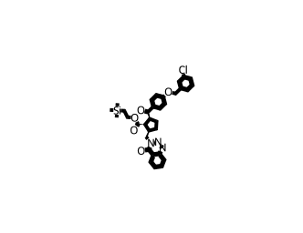 C[Si](C)(C)CCOC(=O)[C@H]1[C@H](Cn2nnc3ccccc3c2=O)CC[C@@H]1C(=O)c1ccc(OCc2cccc(Cl)c2)cc1